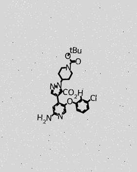 CC(C)(C)OC(=O)N1CCC(n2cc(-c3cc(N)ncc3Oc3cccc(Cl)c3C(=O)O)cn2)CC1